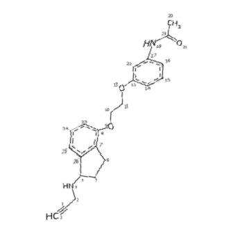 C#CCNC1CCc2c(OCCOc3cccc(NC(C)=O)c3)cccc21